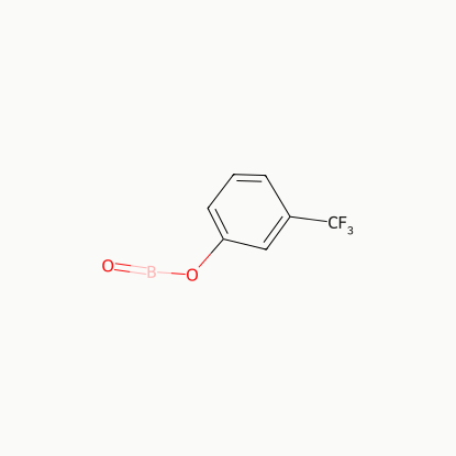 O=BOc1cccc(C(F)(F)F)c1